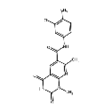 Cc1ccc(NC(=O)c2cc3c(=O)[nH]c(=O)n(C)c3nc2C)cc1Cl